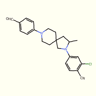 CC1CC2(CCN(c3ccc(C=O)cc3)CC2)CN1c1ccc(C#N)c(Cl)c1